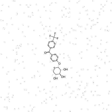 O=C(c1ccc(O[C@H]2SC[C@@H](O)[C@H](O)[C@H]2O)cc1)c1ccc(C(F)(F)F)cc1